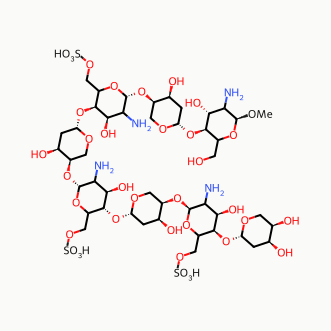 CO[C@H]1OC(CO)[C@@H](O[C@H]2C[C@H](O)[C@H](O[C@H]3OC(COS(=O)(=O)O)[C@H](O[C@H]4C[C@H](O)[C@H](O[C@H]5OC(COS(=O)(=O)O)[C@@H](O[C@H]6C[C@H](O)[C@H](O[C@@H]7OC(COS(=O)(=O)O)[C@H](O[C@H]8C[C@H](O)[C@H](O)CO8)[C@H](O)C7N)CO6)[C@H](O)C5N)CO4)[C@H](O)C3N)CO2)[C@H](O)C1N